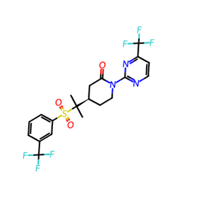 CC(C)([C@@H]1CCN(c2nccc(C(F)(F)F)n2)C(=O)C1)S(=O)(=O)c1cccc(C(F)(F)F)c1